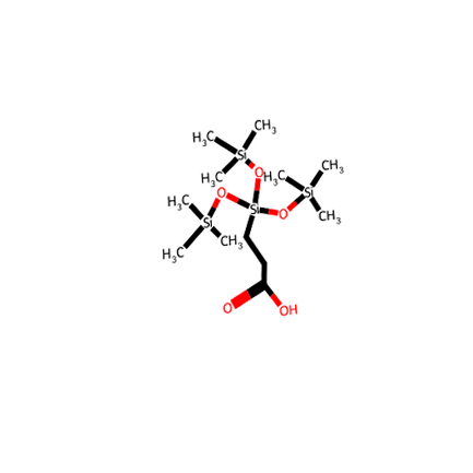 C[Si](C)(C)O[Si](CCC(=O)O)(O[Si](C)(C)C)O[Si](C)(C)C